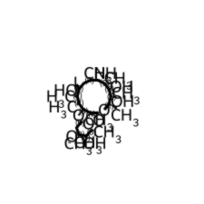 CC[C@H]1OC(=O)[C@H](C)[C@@H](O[C@H]2C[C@@](C)(OC)[C@@H](O)[C@H](C)O2)[C@H](C)[C@@H](C)[C@@](O)(I)C[C@@H](C)C(=N)[C@H](C)[C@@H](O)[C@]1(C)O